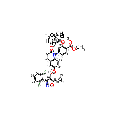 COC(=O)c1ccc(N2C(=O)CCc3cc(OCc4c(-c5c(Cl)cccc5Cl)noc4C4CC4)ccc32)cc1O[Si](C)(C)C(C)(C)C